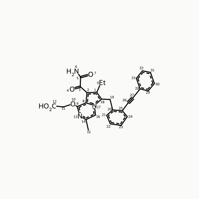 CCc1c(C(=O)C(N)=O)c2c(OCC(=O)O)nc(C)cn2c1Cc1ccccc1C#Cc1ccccc1